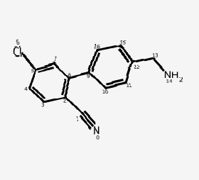 N#Cc1ccc(Cl)cc1-c1ccc(CN)cc1